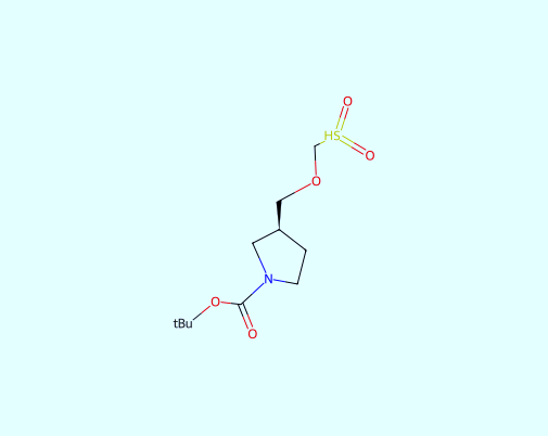 CC(C)(C)OC(=O)N1CC[C@H](COC[SH](=O)=O)C1